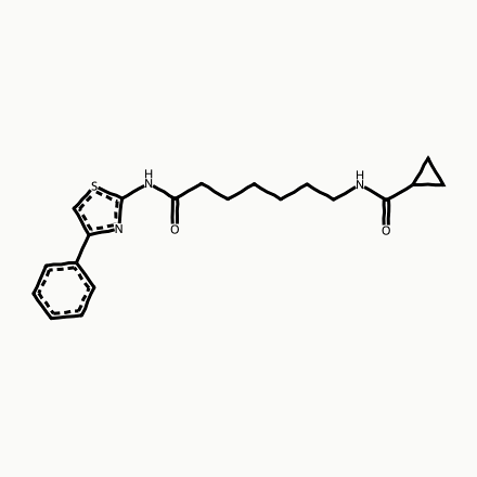 O=C(CCCCCCNC(=O)C1CC1)Nc1nc(-c2ccccc2)cs1